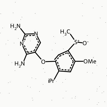 COc1cc(C(C)C)c(Oc2cnc(N)nc2N)cc1[S+](C)[O-]